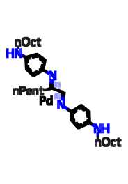 CCCCCCCCNc1ccc(/N=C/C(CCCCC)=N/c2ccc(NCCCCCCCC)cc2)cc1.[Pd]